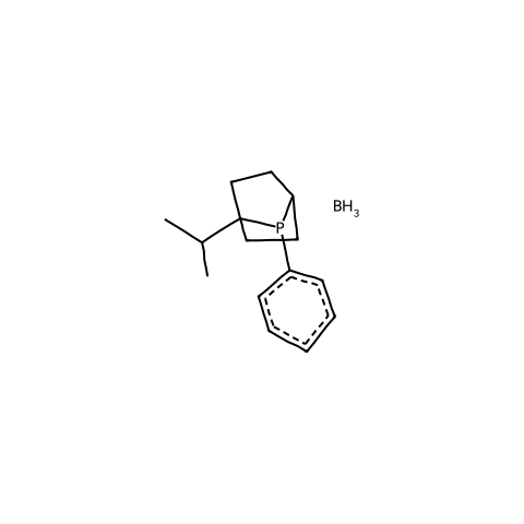 B.CC(C)C12CCC(CC1)P2c1ccccc1